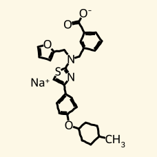 CC1CCC(Oc2ccc(-c3csc(N(Cc4cccc(C(=O)[O-])c4)Cc4ccco4)n3)cc2)CC1.[Na+]